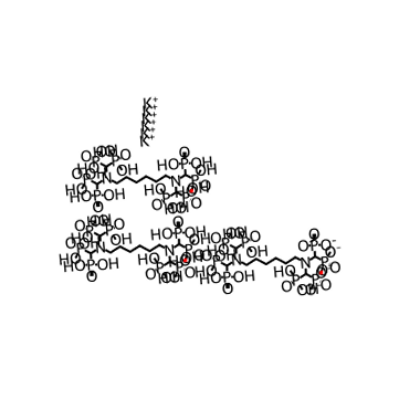 O=P(O)(O)C(N(CCCCCCN(C(P(=O)(O)O)P(=O)(O)O)C(P(=O)(O)O)P(=O)(O)O)C(P(=O)(O)O)P(=O)(O)O)P(=O)(O)O.O=P(O)(O)C(N(CCCCCCN(C(P(=O)(O)O)P(=O)(O)O)C(P(=O)(O)O)P(=O)(O)O)C(P(=O)(O)O)P(=O)(O)O)P(=O)(O)O.O=P([O-])([O-])C(N(CCCCCCN(C(P(=O)(O)O)P(=O)(O)O)C(P(=O)(O)O)P(=O)(O)O)C(P(=O)([O-])[O-])P(=O)(O)O)P(=O)([O-])[O-].[K+].[K+].[K+].[K+].[K+].[K+]